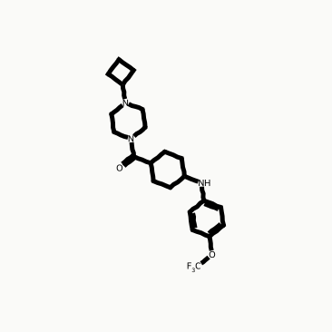 O=C(C1CCC(Nc2ccc(OC(F)(F)F)cc2)CC1)N1CCN(C2CCC2)CC1